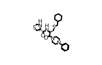 O=C(N[C@@H](CSCC1CCCCC1)C(=O)N1CCN(c2ccccc2)CC1)[C@@H]1CSCN1